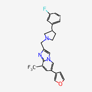 Fc1cccc(C2CCN(Cc3cn4cc(-c5ccoc5)cc(C(F)(F)F)c4n3)C2)c1